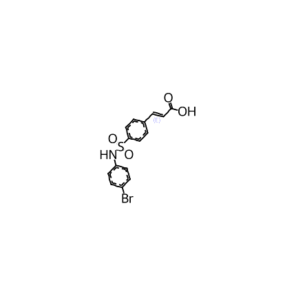 O=C(O)/C=C/c1ccc(S(=O)(=O)Nc2ccc(Br)cc2)cc1